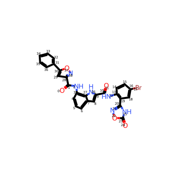 O=C(Nc1cccc2cc(C(=O)Nc3ccc(Br)cc3-c3noc(=O)[nH]3)[nH]c12)c1cc(-c2ccccc2)on1